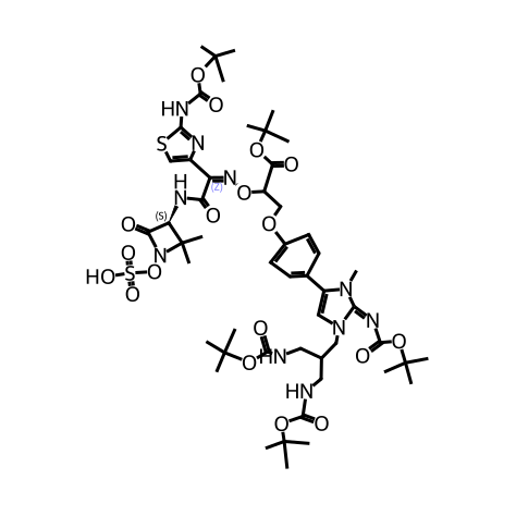 Cn1c(-c2ccc(OCC(O/N=C(\C(=O)N[C@@H]3C(=O)N(OS(=O)(=O)O)C3(C)C)c3csc(NC(=O)OC(C)(C)C)n3)C(=O)OC(C)(C)C)cc2)cn(CC(CNC(=O)OC(C)(C)C)CNC(=O)OC(C)(C)C)c1=NC(=O)OC(C)(C)C